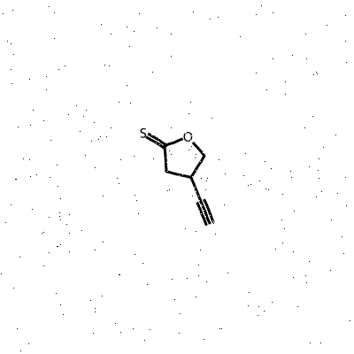 C#CC1COC(=S)C1